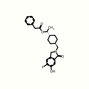 CC(OC(=O)Cc1ccccc1)[C@H]1CC[C@H](CN2Cc3cc(F)c(O)cc3C2=O)CC1